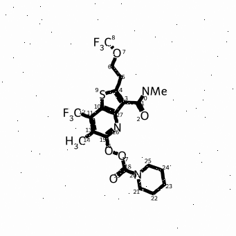 CNC(=O)c1c(CCOC(F)(F)F)sc2c(C(F)(F)F)c(C)c(OOC(=O)N3CCCCC3)nc12